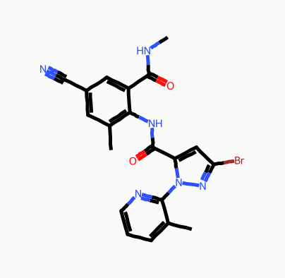 CNC(=O)c1cc(C#N)cc(C)c1NC(=O)c1cc(Br)nn1-c1ncccc1C